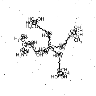 CC(=O)NC1[C@H](OCCCCCCOP(=O)(O)OCCCOCC(COCCCOP(=O)(O)OCCCCCCO[C@@H]2OC(CO)[C@H](O)[C@H](O)C2C)(COCCCOP(=O)(O)OCCCCCCO[C@@H]2OC(CO)[C@H](O)[C@H](O)C2C)COP(=O)(O)OCOCC(CO)COCOP(=O)(O)O[C@H]2C[C@H](n3cnc4c(N)ncnc43)O[C@@H]2COP(C)(=O)O)OC(CO)[C@H](O)[C@@H]1O